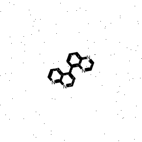 c1cc(-c2ccnc3ncccc23)c2nccnc2c1